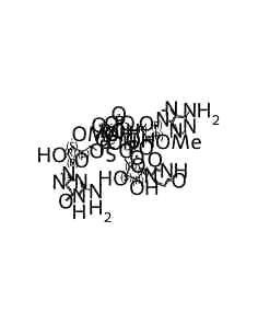 COC[C@H]1[C@@H](O)[C@H](n2c[n+](C)c3c(=O)[nH]c(N)nc32)O[C@@H]1COP(O)(=S)OP(=O)(O)OP(=O)(O)OC[C@H]1O[C@@H](n2cnc3c(N)ncnc32)[C@H](OC)[C@@H]1OP(=O)(O)OC[C@H]1O[C@@H](n2ccc(=O)[nH]c2=O)[C@H](O)[C@@H]1O